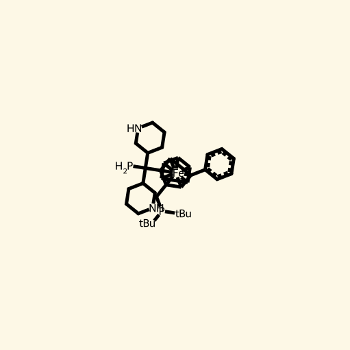 CC(C)(C)P(C[C]12[CH]3[C]4(c5ccccc5)[CH]5[C]1(C(P)(C1CCCNC1)C1CCCNC1)[Fe]35421678[CH]2[CH]1[CH]6[CH]7[CH]28)C(C)(C)C